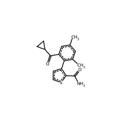 Cc1cc(C)c(-c2ccsc2C(N)=O)c(C(=O)C2CC2)c1